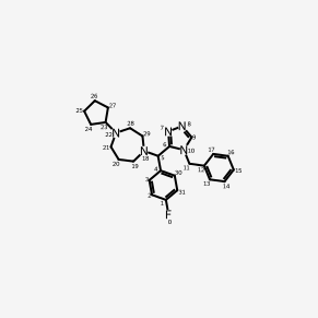 Fc1ccc(C(c2nncn2Cc2ccccc2)N2CCCN(C3CCCC3)CC2)cc1